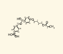 C=CC(=O)OCCCCOc1ccc(C(O)OCc2ccc(B(O)O)cc2)cc1